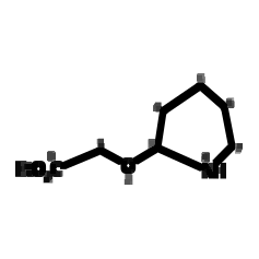 CCOC(=O)COC1CCCCN1